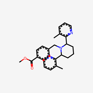 COC(=O)c1ccc(CN2C(c3ncccc3C)CCCC2c2ncccc2C)cc1